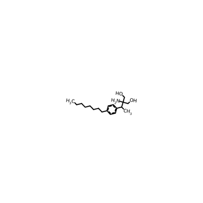 CCCCCCCCc1ccc(C(C)C(N)(CO)CO)cc1